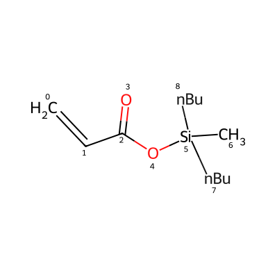 C=CC(=O)O[Si](C)(CCCC)CCCC